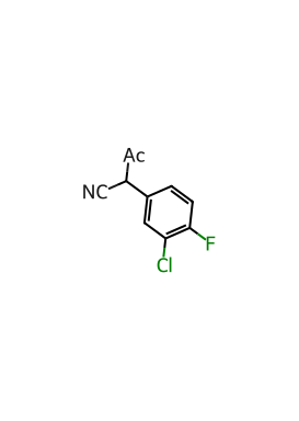 CC(=O)C(C#N)c1ccc(F)c(Cl)c1